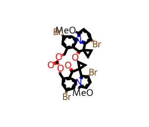 COc1ccc(Br)c(C2(C(=O)c3ccc(Br)cc3COC(=O)OCc3cc(Br)ccc3C(=O)C3(c4nc(OC)ccc4Br)CC3)CC2)n1